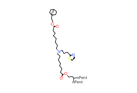 CCCCCC(CCCCC)CCOC(=O)CCCCCCCN(CCCCCCCC(=O)OCCC12CCC(CC1)CC2)CCCc1nccs1